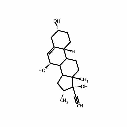 C#C[C@@]1(O)[C@H](C)CC2C3C(CC[C@@]21C)[C@H]1CC[C@@H](O)CC1=C[C@@H]3O